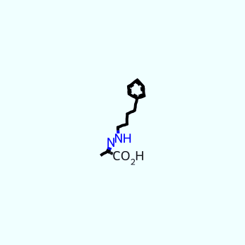 C/C(=N/NCCCCc1ccccc1)C(=O)O